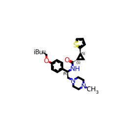 CC[C@H](C)COc1ccc([C@H](CN2CCN(C)CC2)NC(=O)[C@H]2C[C@@H]2c2cccs2)cc1